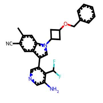 Cc1cc2c(cc1C#N)c(-c1cncc(N)c1C(F)F)cn2C1CC(OCc2ccccc2)C1